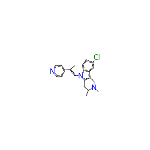 CC(=Cn1c2c(c3cc(Cl)ccc31)CN(C)C(C)C2)c1ccncc1